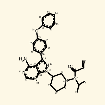 C=CC(=O)N(C(C)C)N1CCCC(n2nc(-c3ccc(Oc4ccccc4)cc3)c3c(N)ncnc32)C1